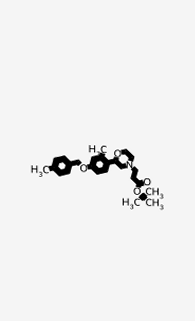 Cc1ccc(COc2ccc(C3CN(CCC(=O)OC(C)(C)C)CCO3)c(C)c2)cc1